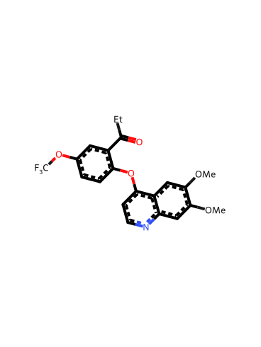 CCC(=O)c1cc(OC(F)(F)F)ccc1Oc1ccnc2cc(OC)c(OC)cc12